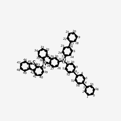 c1ccc(-c2ccc(-c3ccc(N(c4ccc(-c5ccccc5)cc4)c4ccc5c(c4)c4ccccc4n5-c4cccc5c4sc4ccccc45)cc3)cc2)cc1